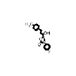 CC1C=CC(CC[C@@H](O)[C@@H]2CN(c3ccc(F)cc3)C(=O)O2)=CC1